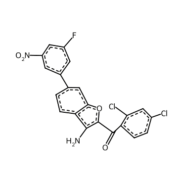 Nc1c(C(=O)c2ccc(Cl)cc2Cl)oc2cc(-c3cc(F)cc([N+](=O)[O-])c3)ccc12